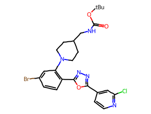 CC(C)(C)OC(=O)NCC1CCN(c2cc(Br)ccc2-c2nnc(-c3ccnc(Cl)c3)o2)CC1